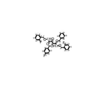 O[C@@H]([C@H](O)[C@@H](COCc1ccccc1F)OCc1ccc(F)cc1)[C@@H](COCc1ccccc1F)OCc1ccccc1